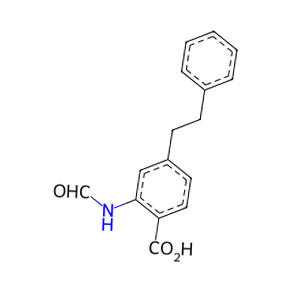 O=CNc1cc(CCc2ccccc2)ccc1C(=O)O